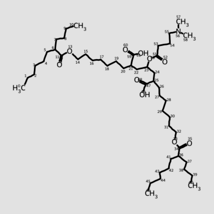 CCCCCCC(CCCC)C(=O)OCCCCCCCC(CC(CC(CCCCCCCOC(=O)C(CCCC)CCCCCC)C(=O)O)OC(=O)CCCN(C)C)C(=O)O